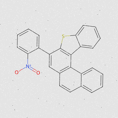 O=[N+]([O-])c1ccccc1-c1cc2ccc3ccccc3c2c2c1sc1ccccc12